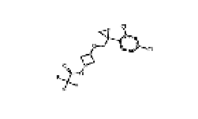 O=C(ON1CC(OCC2(c3ccc(Cl)cc3Cl)CC2)C1)C(F)(F)F